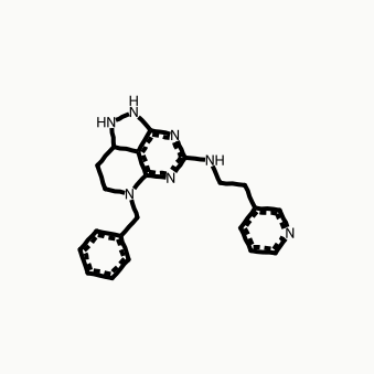 c1ccc(CN2CCC3NNc4nc(NCCc5cccnc5)nc2c43)cc1